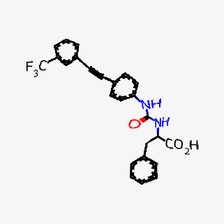 O=C(Nc1ccc(C#Cc2cccc(C(F)(F)F)c2)cc1)NC(Cc1ccccc1)C(=O)O